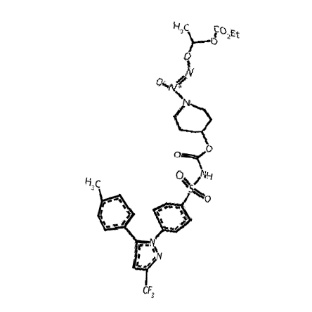 CCOC(=O)OC(C)ON=[N+]([O-])N1CCC(OC(=O)NS(=O)(=O)c2ccc(-n3nc(C(F)(F)F)cc3-c3ccc(C)cc3)cc2)CC1